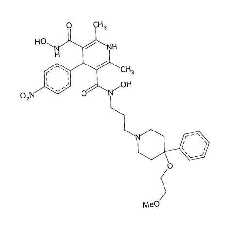 COCCOC1(c2ccccc2)CCN(CCCN(O)C(=O)C2=C(C)NC(C)=C(C(=O)NO)C2c2ccc([N+](=O)[O-])cc2)CC1